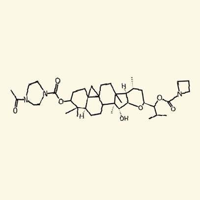 CC(=O)N1CCN(C(=O)OC2CCC34CC35CCC3(C)[C@@H]6C(OC(C(OC(=O)N7CCC7)C(C)C)C[C@H]6C)[C@H](O)[C@@]3(C)C5CC[C@H]4C2(C)C)CC1